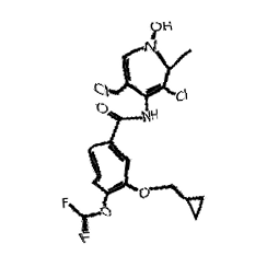 CC1C(Cl)=C(NC(=O)c2ccc(OC(F)F)c(OCC3CC3)c2)C(Cl)=CN1O